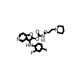 O=C(NOCCN1CCCCC1)Oc1oc2ccncc2c1Nc1ccc(I)cc1F